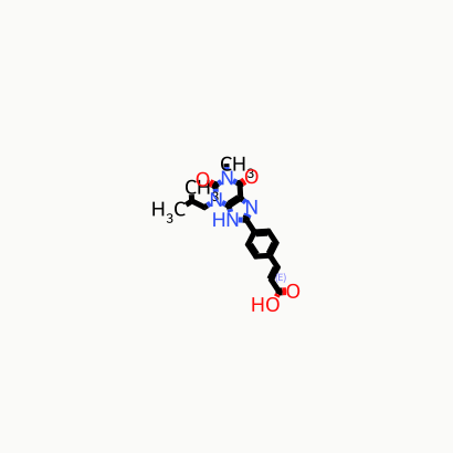 CC(C)Cn1c(=O)n(C)c(=O)c2nc(-c3ccc(/C=C/C(=O)O)cc3)[nH]c21